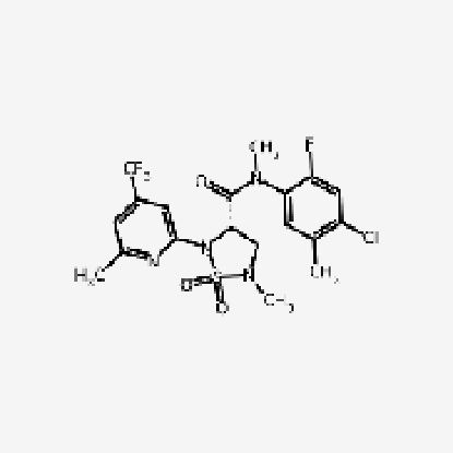 Cc1cc(C(F)(F)F)cc(N2[C@H](C(=O)N(C)c3cc(C)c(Cl)cc3F)CN(C)S2(=O)=O)n1